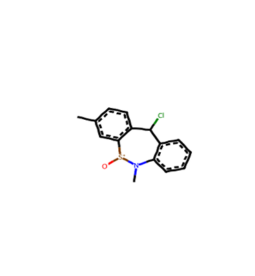 Cc1ccc2c(c1)[S+]([O-])N(C)c1ccccc1C2Cl